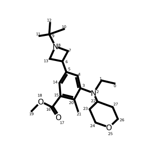 CCN(c1cc(C2CN(C(C)(C)C)C2)cc(C(=O)OC)c1C)C1CCOCC1